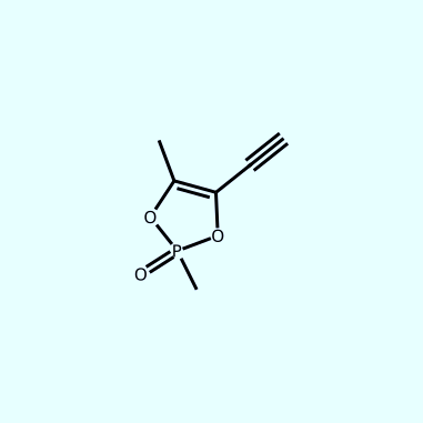 C#CC1=C(C)OP(C)(=O)O1